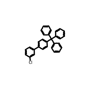 Clc1cccc(-c2ccc(C(c3ccccc3)(c3ccccc3)c3ccccc3)cc2)c1